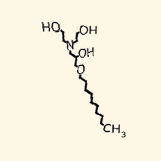 CCCCCCCCCCOCC(O)CN(CCO)CCO